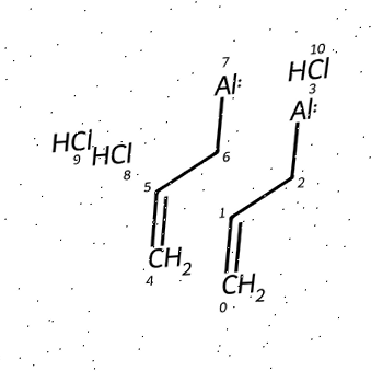 C=C[CH2][Al].C=C[CH2][Al].Cl.Cl.Cl